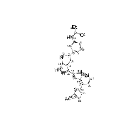 CCC(=O)Nc1cncc(-c2cnc3[nH]nc(-c4nc5c(-c6ccc(C(C)=O)s6)ccnc5[nH]4)c3c2)c1